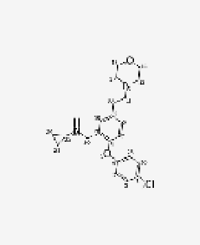 Clc1ccc(Oc2ccc(CCN3CCOCC3)cc2CNC2CC2)cc1